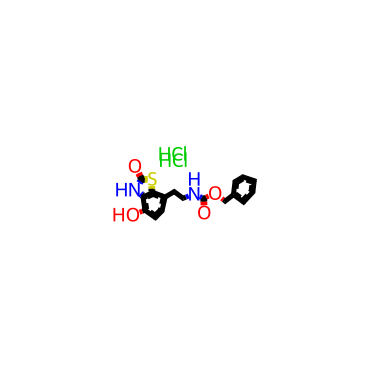 Cl.Cl.O=C(NCCc1ccc(O)c2[nH]c(=O)sc12)OCc1ccccc1